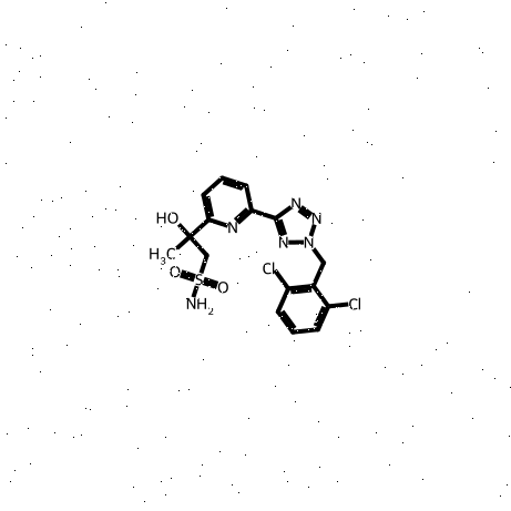 CC(O)(CS(N)(=O)=O)c1cccc(-c2nnn(Cc3c(Cl)cccc3Cl)n2)n1